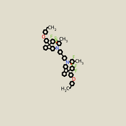 C=Cc1ccc(Oc2ccc(C3(c4cc(F)c(F)c(F)c4)c4ccccc4-c4ccc(N(c5ccc(-c6ccc(N(c7ccc(C)c(F)c7)c7ccc8c(c7)[C@](c7ccc(Oc9ccc(C=C)cc9)cc7)(c7cc(F)c(F)c(F)c7)c7ccccc7-8)cc6)cc5)c5ccc(C)c(F)c5)cc43)cc2)cc1